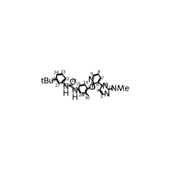 CNc1nccc(-c2cccnc2Oc2ccc(NC(=O)Nc3cccc(C(C)(C)C)c3)cc2C)n1